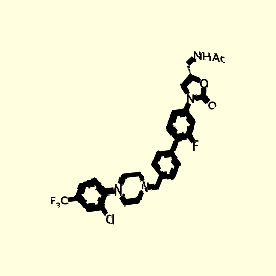 CC(=O)NC[C@H]1CN(c2ccc(-c3ccc(CN4CCN(c5ccc(C(F)(F)F)cc5Cl)CC4)cc3)c(F)c2)C(=O)O1